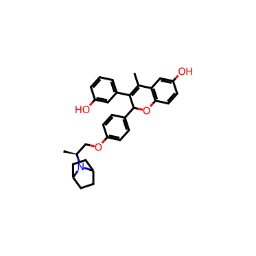 CC1=C(c2cccc(O)c2)C(c2ccc(OC[C@H](C)N3C4CCC3CC4)cc2)Oc2ccc(O)cc21